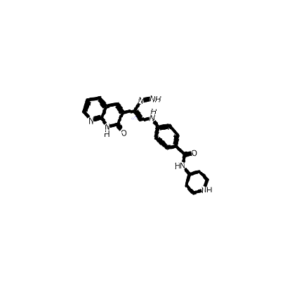 N=N/C(=C\Nc1ccc(C(=O)NC2CCNCC2)cc1)c1cc2cccnc2[nH]c1=O